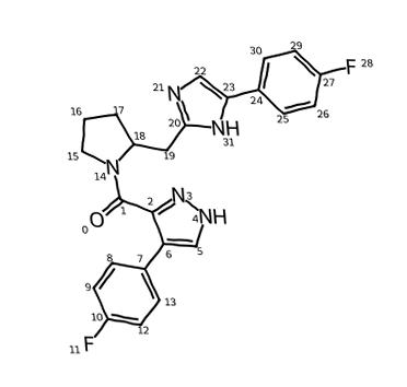 O=C(c1n[nH]cc1-c1ccc(F)cc1)N1CCCC1Cc1ncc(-c2ccc(F)cc2)[nH]1